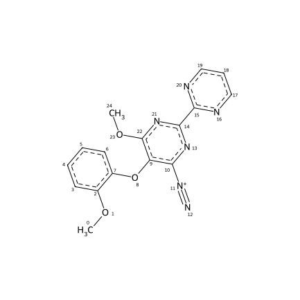 COc1ccccc1Oc1c([N+]#N)nc(-c2ncccn2)nc1OC